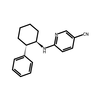 N#Cc1ccc(N[C@@H]2CCCC[C@H]2c2ccccc2)nc1